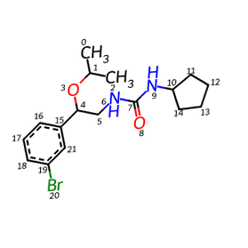 CC(C)OC(CNC(=O)NC1CCCC1)c1cccc(Br)c1